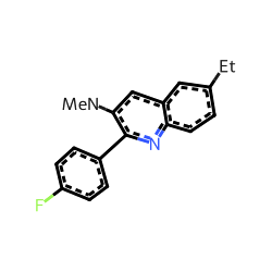 CCc1ccc2nc(-c3ccc(F)cc3)c(NC)cc2c1